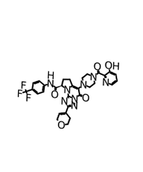 O=C(Nc1ccc(C(F)(F)F)cc1)[C@H]1CCc2c(N3CCN(C(=O)c4ncccc4O)CC3)c(=O)n3nc(C4=CCOCC4)nc3n21